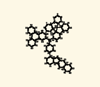 c1ccc2c(c1)-c1ccccc1C21c2ccccc2-c2ccc(N(c3ccc(-c4cccc5c4sc4cc6ccccc6cc45)cc3)c3ccc4c5ccccc5c5ccccc5c4c3)cc21